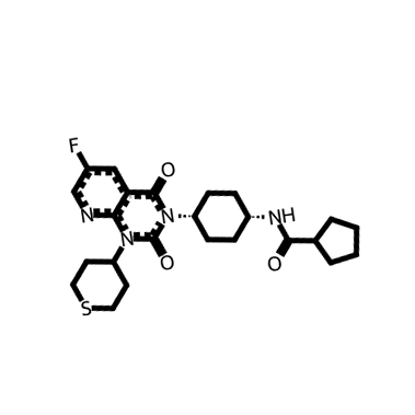 O=C(N[C@H]1CC[C@@H](n2c(=O)c3cc(F)cnc3n(C3CCSCC3)c2=O)CC1)C1CCCC1